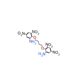 Nc1cc([N+](=O)[O-])cc([N+](=O)[O-])c1OCCCCOc1c(N)cc([N+](=O)[O-])cc1[N+](=O)[O-]